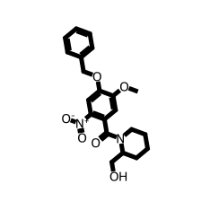 COc1cc(C(=O)N2CCCCC2CO)c([N+](=O)[O-])cc1OCc1ccccc1